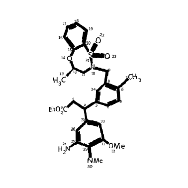 CCOC(=O)CC(c1ccc(C)c(CN2C[C@@H](C)Oc3ccccc3S2(=O)=O)c1)c1cc(N)c(NC)c(OC)c1